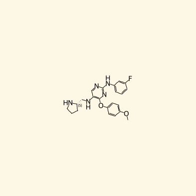 COc1ccc(Oc2nc(Nc3cccc(F)c3)ncc2NC[C@@H]2CCCN2)cc1